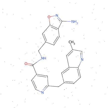 Cc1cnc2ccc(Cc3cc(C(=O)NCc4ccc5c(N)noc5c4)ccn3)cc2c1